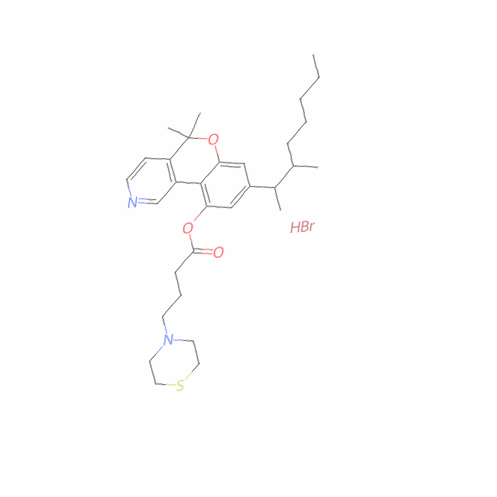 Br.CCCCCC(C)C(C)c1cc(OC(=O)CCCN2CCSCC2)c2c(c1)OC(C)(C)c1ccncc1-2